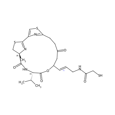 CC(C)[C@@H]1NC(=O)[C@]2(C)CSC(=N2)c2csc(n2)CCC(=O)CC(/C=C/CNC(=O)CS)OC1=O